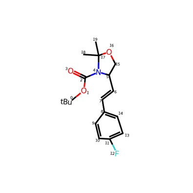 CC(C)(C)OC(=O)N1C(C=Cc2ccc(F)cc2)COC1(C)C